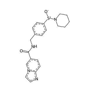 O=C(NCc1ccc([S+]([O-])N2CCCCC2)cc1)c1ccc2nccn2c1